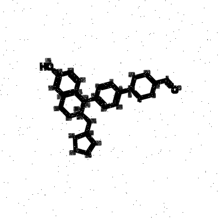 O=CC1CCN(c2ccc([C@@H]3c4ccc(O)cc4CC[C@@H]3CC3CCCC3)cc2)CC1